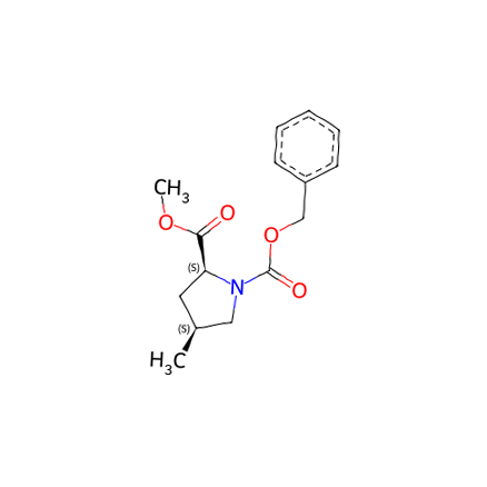 COC(=O)[C@@H]1C[C@H](C)CN1C(=O)OCc1ccccc1